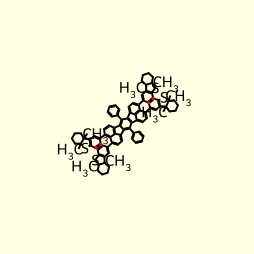 CC12CCCCC1(C)c1cc(-c3ccc4c5c(-c6ccccc6)c6c7ccc(-c8ccc9c(c8)C8(C)CCCCC8(C)S9)c8c(-c9ccc%10c(c9)C9(C)CCCCC9(C)S%10)ccc(c6c(-c6ccccc6)c5c5ccc(-c6ccc9c(c6)C6(C)CCCCC6(C)S9)c3c45)c87)ccc1S2